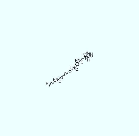 CCCCNC(=O)COCCOCCOCCNC(=O)c1ccc(NC(=O)CC[C@H]2SC[C@H]3NC(=O)N[C@H]32)cc1